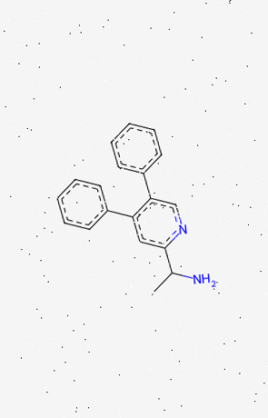 CC(N)c1cc(-c2ccccc2)c(-c2ccccc2)cn1